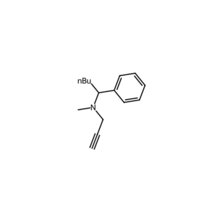 C#CCN(C)C(CCCC)c1ccccc1